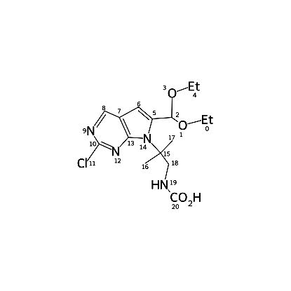 CCOC(OCC)c1cc2cnc(Cl)nc2n1C(C)(C)CNC(=O)O